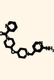 Nc1cc(CN2CCC(OC3CCN(C(=O)c4ccccn4)CC3)CC2)ccn1